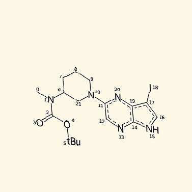 CN(C(=O)OC(C)(C)C)C1CCCN(c2cnc3[nH]cc(I)c3n2)C1